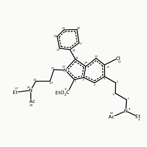 CCOC(=O)c1c2cc(CCCN(CC)C(C)=O)c(Cl)cc2c(-c2ccccc2)n1CCCN(CC)C(C)=O